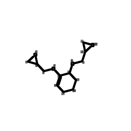 C1=C(OCC2CO2)C(OCC2CO2)CCC1